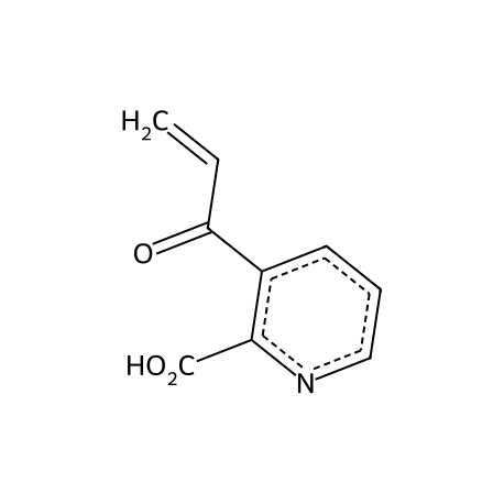 C=CC(=O)c1cccnc1C(=O)O